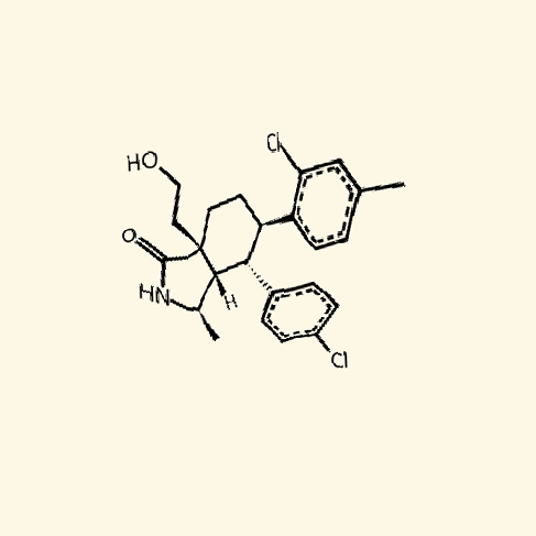 Cc1ccc([C@@H]2CC[C@@]3(CCO)C(=O)N[C@H](C)[C@H]3[C@H]2c2ccc(Cl)cc2)c(Cl)c1